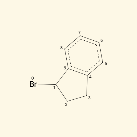 BrC1CCc2ccccc21